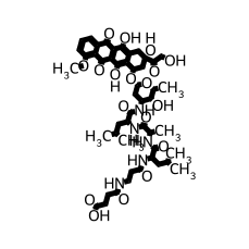 COc1cccc2c1C(=O)c1c(O)c3c(c(O)c1C2=O)CC(O)(C(=O)CO)CC3OC1CC(NC(=O)C(CC(C)C)NC(=O)C(C)NC(=O)C(CC(C)C)NC(=O)CCNC(=O)CCC(=O)O)C(O)C(C)O1